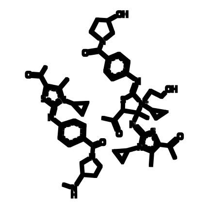 CC(=O)c1sc(=NC2(C)C(C(C)=O)SC(=Nc3ccc(C(=O)N4CCC(O)C4)cc3)[N+]2(CCO)C2CC2)n(C2CC2)c1C.CNC1CCN(C(=O)c2ccc(N=c3sc(C(C)=O)c(C)n3C3CC3)cc2)C1